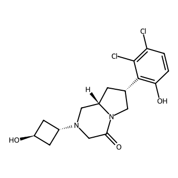 O=C1CN([C@H]2C[C@H](O)C2)C[C@@H]2C[C@H](c3c(O)ccc(Cl)c3Cl)CN12